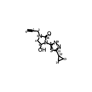 C#CCN1CC(O)N(c2nnc(C3CC3)s2)C1=O